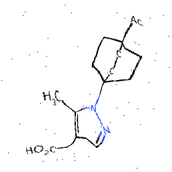 CC(=O)C12CCC(n3ncc(C(=O)O)c3C)(CC1)CC2